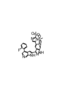 CS(=O)(=O)c1ncc(-c2cc3c(-c4cc5c(-c6ccccc6F)cncc5[nH]4)n[nH]c3cn2)n1S(C)(=O)=O